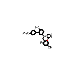 COc1ccc(-c2cc(N(Cc3c(F)cc(O)cc3F)n3cnnc3)ccc2C#N)cc1